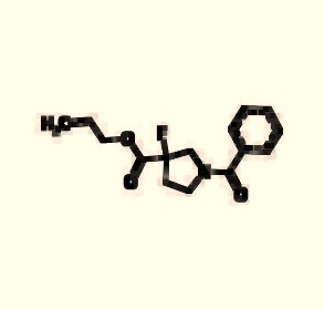 C=CCOC(=O)C1(F)CCN(C(=O)c2ccccc2)C1